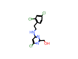 OCc1nc(Cl)cc(NCCc2ccc(Cl)cc2Cl)n1